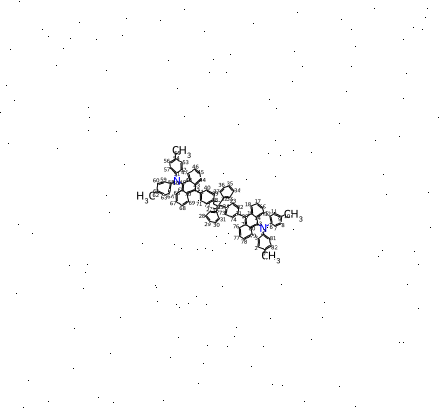 Cc1ccc(N(c2ccc(C)cc2)c2c3ccccc3c(-c3ccc([Si](c4ccccc4)(c4ccccc4)c4ccc(-c5c6ccccc6c(N(c6ccc(C)cc6)c6ccc(C)cc6)c6ccccc56)cc4)cc3)c3ccccc23)cc1